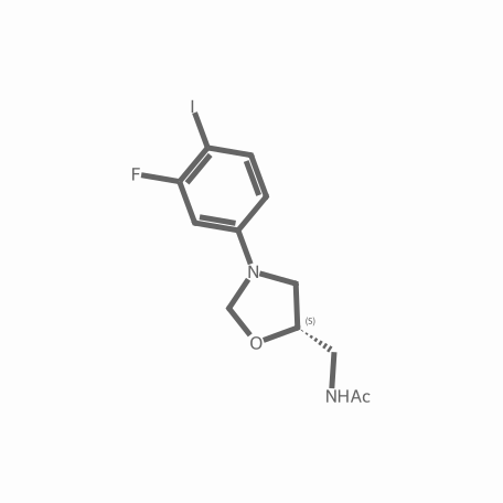 CC(=O)NC[C@H]1CN(c2ccc(I)c(F)c2)CO1